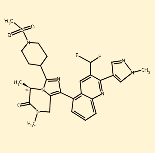 C[C@@H]1C(=O)N(C)Cc2c(-c3cccc4nc(-c5cnn(C)c5)c(C(F)F)cc34)nc(C3CCN(S(C)(=O)=O)CC3)n21